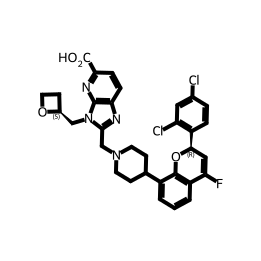 O=C(O)c1ccc2nc(CN3CCC(c4cccc5c4O[C@@H](c4ccc(Cl)cc4Cl)C=C5F)CC3)n(C[C@@H]3CCO3)c2n1